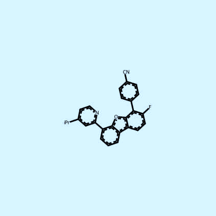 CC(C)c1ccnc(-c2cccc3c2oc2c(-c4ccc(C#N)cc4)c(F)ccc23)c1